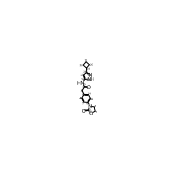 O=C(Cc1ccc(N2CCOC2=O)cc1)Nc1cc(C2CCC2)n[nH]1